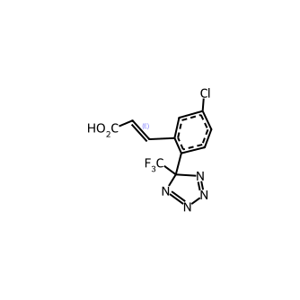 O=C(O)/C=C/c1cc(Cl)ccc1C1(C(F)(F)F)N=NN=N1